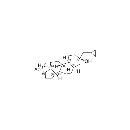 CC(=O)[C@H]1CC[C@H]2[C@@H]3CC[C@@H]4C[C@@](O)(CC5CC5)CC[C@@H]4[C@H]3CC[C@]12C